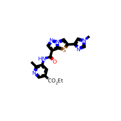 CCOC(=O)c1cnc(C)c(NC(=O)c2cnn3cc(-c4cn(C)cn4)sc23)c1